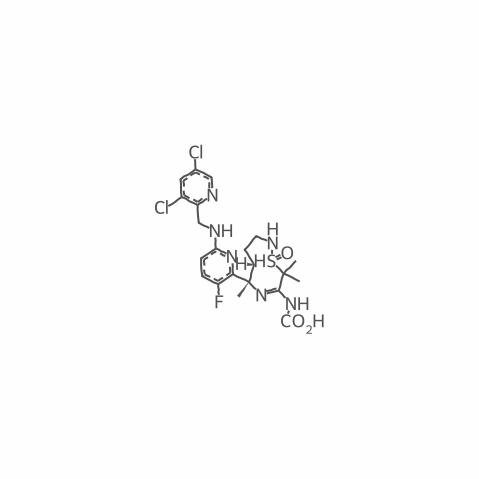 CC1(C)C(NC(=O)O)=N[C@](C)(c2nc(NCc3ncc(Cl)cc3Cl)ccc2F)[C@@H]2CCN[SH]21=O